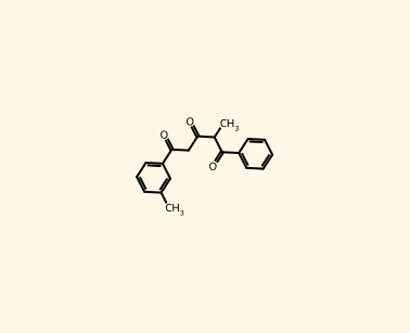 Cc1cccc(C(=O)CC(=O)C(C)C(=O)c2ccccc2)c1